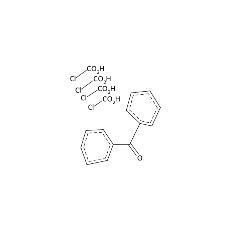 O=C(O)Cl.O=C(O)Cl.O=C(O)Cl.O=C(O)Cl.O=C(c1ccccc1)c1ccccc1